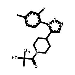 Cc1ccc(-n2nncc2C2CCN(C(=O)C(C)(O)C(F)(F)F)CC2)c(F)c1